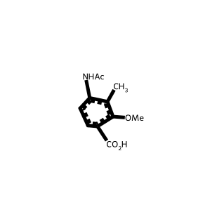 COc1c(C(=O)O)ccc(NC(C)=O)c1C